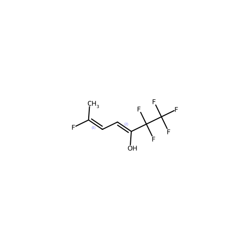 C/C(F)=C\C=C(/O)C(F)(F)C(F)(F)F